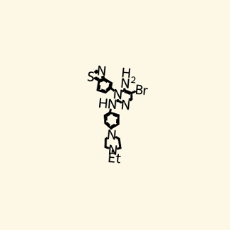 CCN1CCN(c2ccc(NC3N=CC(Br)=C(N)N3c3ccc4scnc4c3)cc2)CC1